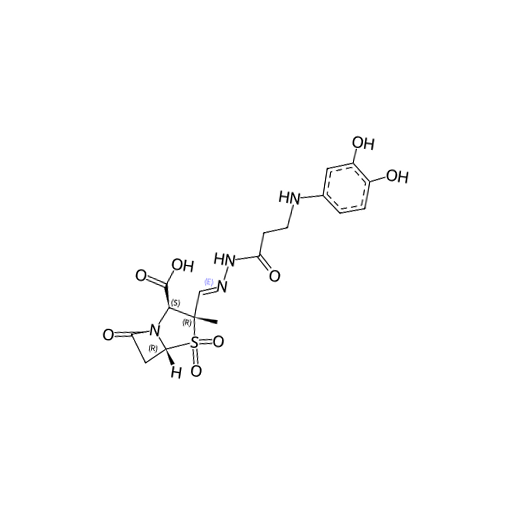 C[C@]1(/C=N/NC(=O)CCNc2ccc(O)c(O)c2)[C@H](C(=O)O)N2C(=O)C[C@H]2S1(=O)=O